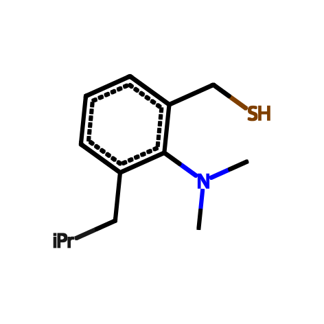 CC(C)Cc1cccc(CS)c1N(C)C